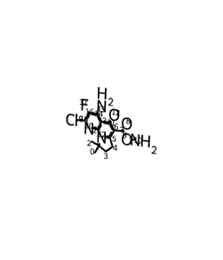 CC1(C)CCc2c(C(=O)ON)c(=O)c3c(N)c(F)c(Cl)nc3n21